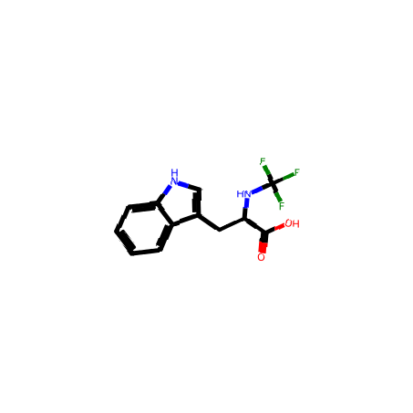 O=C(O)C(Cc1[c][nH]c2ccccc12)NC(F)(F)F